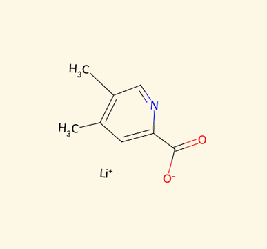 Cc1cnc(C(=O)[O-])cc1C.[Li+]